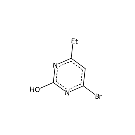 CCc1cc(Br)nc(O)n1